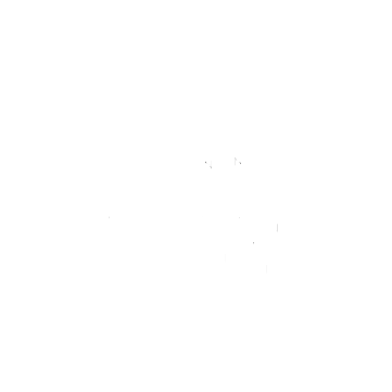 Cc1ccnn1-c1cc(Cl)ccc1C(=O)C(F)(F)F